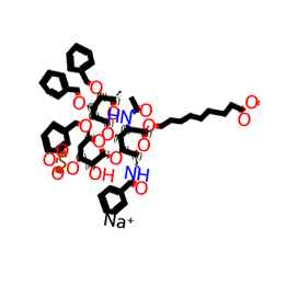 COC(=O)CCCCCCCCO[C@@H]1O[C@H](CNC(=O)c2ccccc2)[C@@H](O[C@@H]2O[C@H](C)C[C@H](OS(=O)(=O)[O-])[C@H]2O)[C@H](O[C@@H]2O[C@@H](C)[C@@H](OCc3ccccc3)[C@@H](OCc3ccccc3)[C@@H]2OCc2ccccc2)[C@H]1NC(C)=O.[Na+]